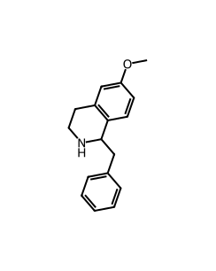 COc1ccc2c(c1)CCNC2Cc1ccccc1